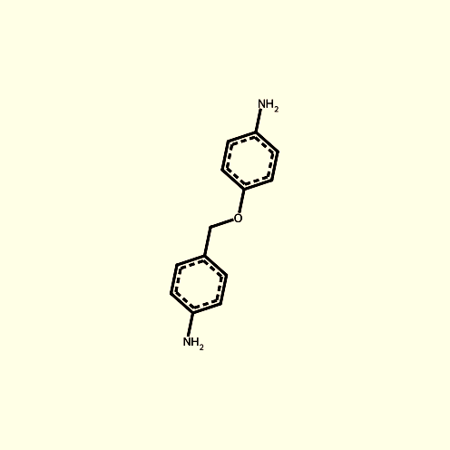 Nc1ccc(COc2ccc(N)cc2)cc1